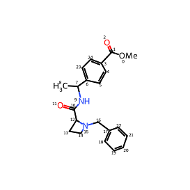 COC(=O)c1ccc(C(C)NC(=O)C2CCN2Cc2ccccc2)cc1